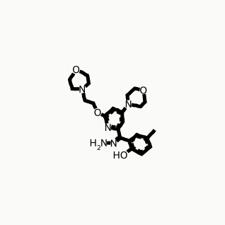 Cc1ccc(O)c(C(=NN)c2cc(N3CCOCC3)cc(OCCN3CCOCC3)n2)c1